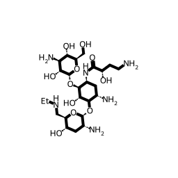 CCNC[C@H]1O[C@H](OC2[C@@H](N)C[C@@H](NC(=O)[C@@H](O)CCN)[C@H](O[C@H]3O[C@H](CO)[C@@H](O)[C@H](N)[C@H]3O)[C@H]2O)[C@H](N)C[C@@H]1O